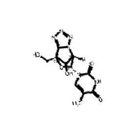 Cc1cn([C@@H]2O[C@]3(CO)c4nnnn4[C@H]2C3O)c(=O)[nH]c1=O